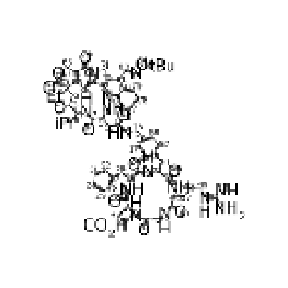 CC[C@@]1(CC(=O)[C@@H](NC(=O)[C@@H](N)CC(=O)NCc2ccc(C[C@@H]3NC(=O)C(Cc4ccccc4)NC(=O)[C@H](CC(=O)O)NC(=O)CNC(=O)[C@H](CCCNC(=N)N)NC3=O)cc2)C(C)C)C(=O)OCc2c1cc1n(c2=O)Cc2c-1nc1ccccc1c2/C=N/OC(C)(C)C